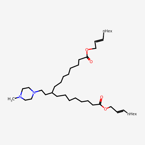 CCCCCC/C=C/COC(=O)CCCCCCCC(CCCCCCCC(=O)OC/C=C/CCCCCC)CCN1CCN(C)CC1